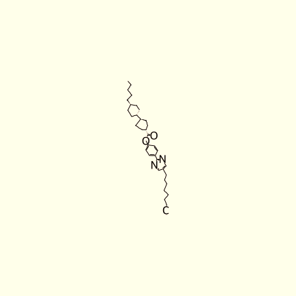 CCCCCCCCCc1cnc(-c2ccc(OC(=O)[C@H]3CC[C@H]([C@H]4CC[C@H](CCCCC)CC4)CC3)cc2)nc1